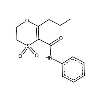 CCCC1=C(C(=O)Nc2ccccc2)S(=O)(=O)CCO1